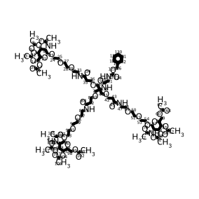 CC(=O)NC1C(OC(C)=O)[C@@H](OC(C)=O)C(COC(C)=O)O[C@H]1OCCOCCOCCNC(=O)CCOCC(COCCC(=O)NCCOCCOCCO[C@@H]1OC(COC(C)=O)[C@H](OC(C)=O)C(OC(C)=O)C1NC(C)=O)(COCCC(=O)NCCOCCOCCO[C@@H]1OC(COC(C)=O)[C@H](OC(C)=O)C(OC(C)=O)C1NC(C)=O)NC(=O)CNC(=O)OCc1ccccc1